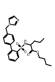 CCCCOC(=O)C(CCC)NS(=O)(=O)c1ccccc1-c1ccc(Cn2ccnc2)cc1